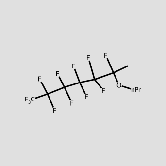 CCCOC(C)(F)C(F)(F)C(F)(F)C(F)(F)C(F)(F)C(F)(F)F